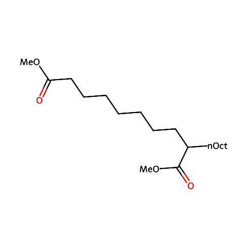 CCCCCCCCC(CCCCCCCC(=O)OC)C(=O)OC